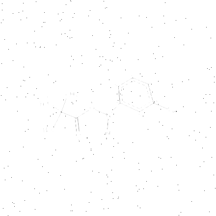 CC(C)(C)C(=O)ON(Br)c1cccc(I)c1